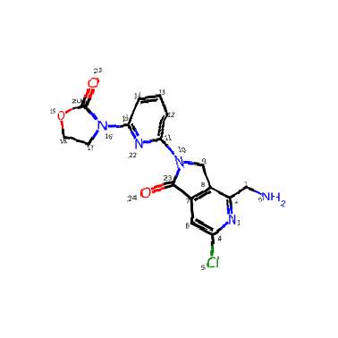 NCc1nc(Cl)cc2c1CN(c1cccc(N3CCOC3=O)n1)C2=O